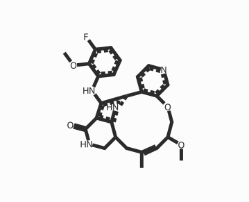 COc1c(F)cccc1Nc1c2[nH]c3c1C(=O)NCC3C/C(C)=C\C(OC)COc1cnccc1-2